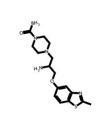 BC(=O)N1CCN(CC(N)COc2ccc3sc(C)nc3c2)CC1